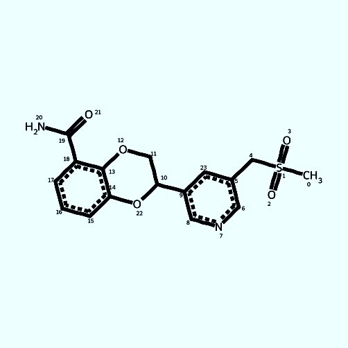 CS(=O)(=O)Cc1cncc(C2COc3c(cccc3C(N)=O)O2)c1